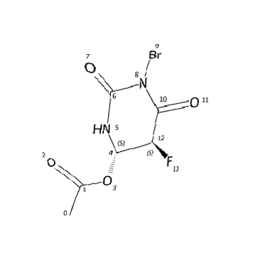 CC(=O)O[C@@H]1NC(=O)N(Br)C(=O)[C@H]1F